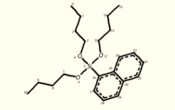 CCCCO[Si](OCCCC)(OCCCC)c1cccc2ccccc12